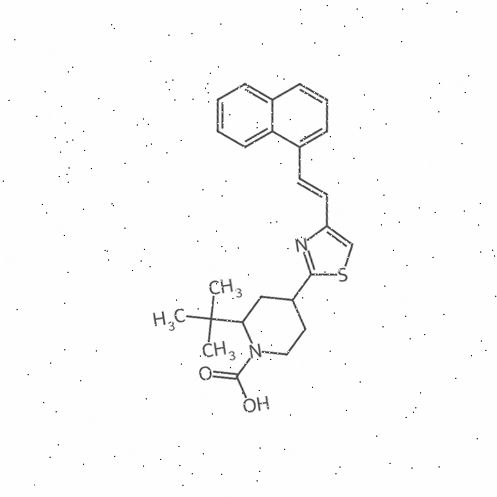 CC(C)(C)C1CC(c2nc(C=Cc3cccc4ccccc34)cs2)CCN1C(=O)O